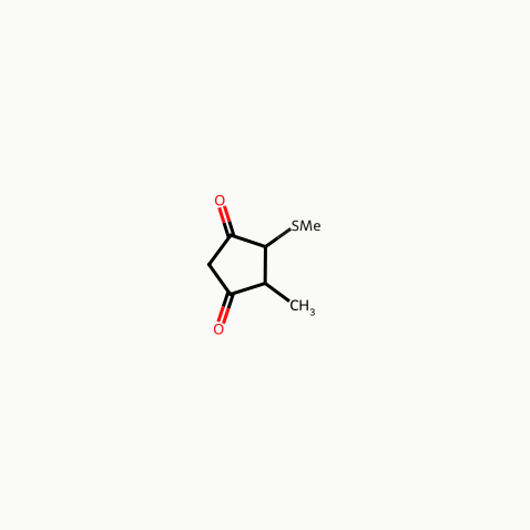 CSC1C(=O)CC(=O)C1C